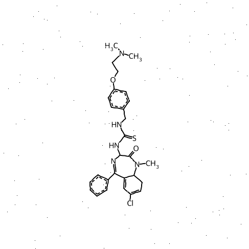 CN(C)CCOc1ccc(CNC(=S)NC2N=C(c3ccccc3)C3=CC(Cl)=CCC3N(C)C2=O)cc1